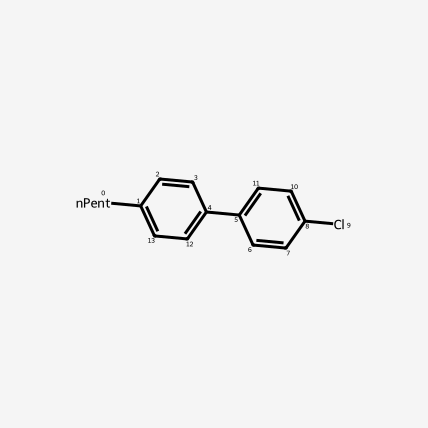 [CH2]CCCCc1ccc(-c2ccc(Cl)cc2)cc1